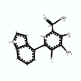 Nc1c(F)c(-c2cccc3occc23)nc(C(=O)O)c1Cl